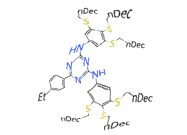 CCCCCCCCCCCSc1cc(Nc2nc(Nc3cc(SCCCCCCCCCCC)c(SCCCCCCCCCCC)c(SCCCCCCCCCCC)c3)nc(-c3ccc(CC)cc3)n2)cc(SCCCCCCCCCCC)c1SCCCCCCCCCCC